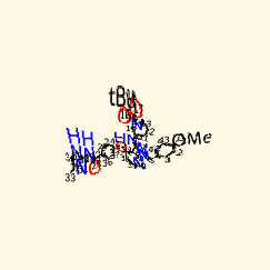 COc1ccc(Cn2nc(N[C@@H]3CCCN(C(=O)OC(C)(C)C)C3)c3c(Oc4ccc(C(=O)Nc5nc(C)c[nH]5)cc4)ccnc32)cc1